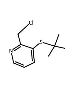 CC(C)(C)Sc1cccnc1CCl